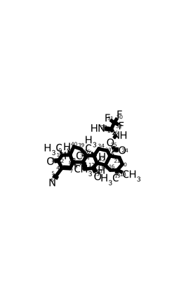 C[C@@H]1C(=O)C(C#N)=C[C@]2(C)C3=CC(=O)[C@@H]4[C@@H]5CC(C)(C)CC[C@]5(C(=O)ONC(=N)C(F)(F)F)CC[C@@]4(C)[C@]3(C)CC[C@@H]12